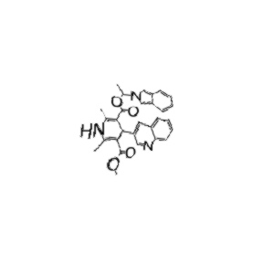 COC(=O)C1=C(C)NC(C)=C(C(=O)OC(C)n2cc3ccccc3c2)C1c1cnc2ccccc2c1